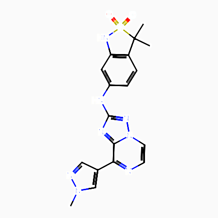 Cn1cc(-c2nccn3nc(Nc4ccc5c(c4)NS(=O)(=O)C5(C)C)nc23)cn1